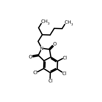 CCCCC(CC)CN1C(=O)c2c(Cl)c(Cl)c(Cl)c(Cl)c2C1=O